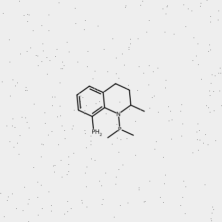 CC1CCc2cccc(P)c2N1P(C)C